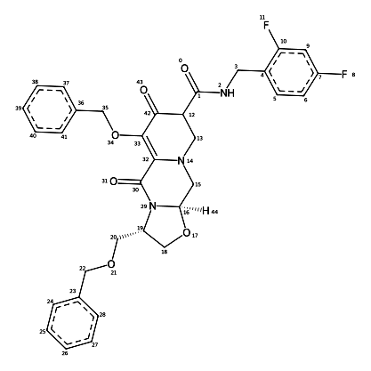 O=C(NCc1ccc(F)cc1F)C1CN2C[C@H]3OC[C@H](COCc4ccccc4)N3C(=O)C2=C(OCc2ccccc2)C1=O